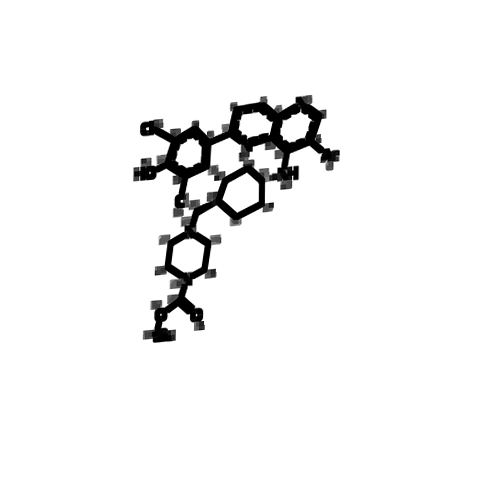 CC(=O)c1cnc2ccc(-c3cc(Cl)c(O)c(Cl)c3)nc2c1N[C@H]1CC[C@H](CN2CCN(C(=O)OC(C)(C)C)CC2)CC1